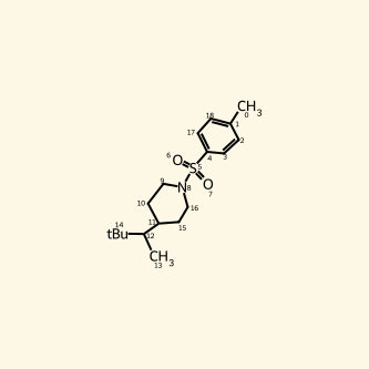 Cc1ccc(S(=O)(=O)N2CCC(C(C)C(C)(C)C)CC2)cc1